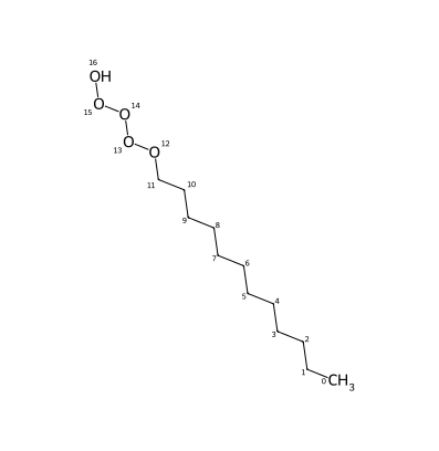 CCCCCCCCCCCCOOOOO